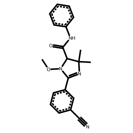 CON1C(c2cccc(C#N)c2)=NC(C)(C)C1C(=O)Nc1ccccc1